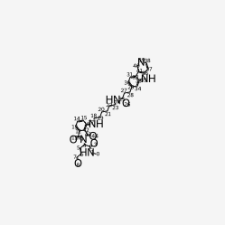 CNC(=O)C(CCC=O)N1C(=O)c2cccc(NCCCCCCNC(=O)CCc3ccc4c(c3)[nH]c3ccncc34)c2C1=O